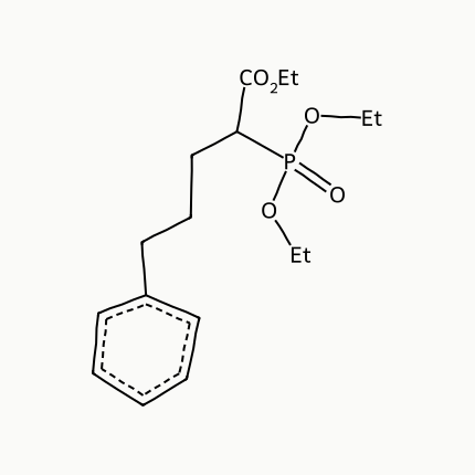 CCOC(=O)C(CCCc1ccccc1)P(=O)(OCC)OCC